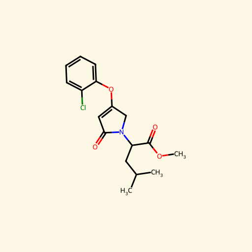 COC(=O)C(CC(C)C)N1CC(Oc2ccccc2Cl)=CC1=O